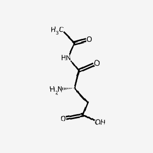 CC(=O)NC(=O)[C@@H](N)CC(=O)O